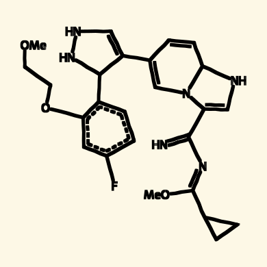 COCCOc1cc(F)ccc1C1NNC=C1C1=CN2C(C(=N)/N=C(\OC)C3CC3)=CNC2C=C1